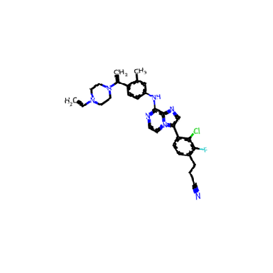 C=CN1CCN(C(=C)c2ccc(Nc3nccn4c(-c5ccc(CCC#N)c(F)c5Cl)cnc34)cc2C)CC1